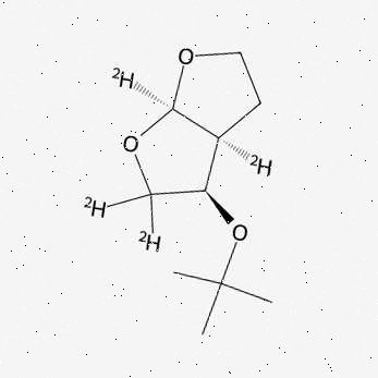 [2H]C1([2H])O[C@@]2([2H])OCC[C@@]2([2H])[C@H]1OC(C)(C)C